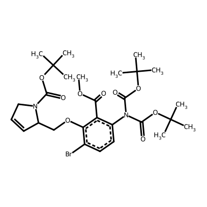 COC(=O)c1c(N(C(=O)OC(C)(C)C)C(=O)OC(C)(C)C)ccc(Br)c1OCC1C=CCN1C(=O)OC(C)(C)C